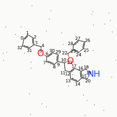 c1ccc(COc2ccc(C(Cc3ccc4c(c3)CNC4)OCc3ccccc3)cc2)cc1